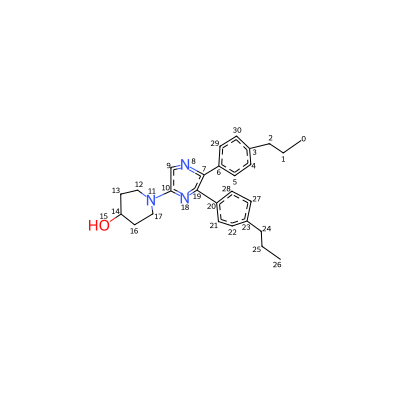 CCCc1ccc(-c2ncc(N3CCC(O)CC3)nc2-c2ccc(CCC)cc2)cc1